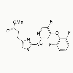 COC(=O)CCc1csc(Nc2cc(Oc3c(F)cccc3F)c(Br)cn2)n1